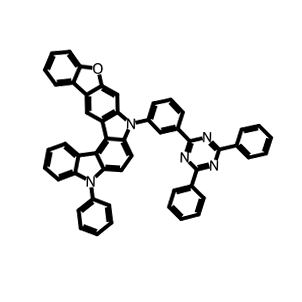 c1ccc(-c2nc(-c3ccccc3)nc(-c3cccc(-n4c5cc6oc7ccccc7c6cc5c5c6c7ccccc7n(-c7ccccc7)c6ccc54)c3)n2)cc1